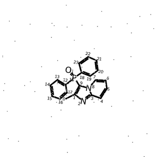 Cc1nc2ccccn2c1P(=O)(c1ccccc1)c1ccccc1